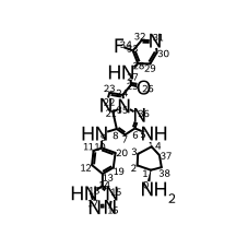 N[C@H]1CC[C@H](Nc2cc(Nc3ccc(-c4nnn[nH]4)cc3)c3ncc(C(=O)Nc4ccncc4F)n3n2)CC1